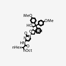 CCCCCCCCC(CCCCCC)C(=O)Nc1ccn([C@H]2C[C@H](O)[C@@H](C(O)C(c3ccccc3)(c3ccc(OC)cc3)c3ccc(OC)cc3)O2)c(=O)n1